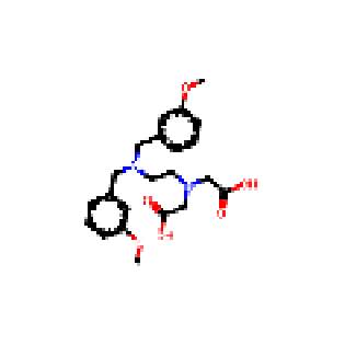 COc1cccc(CN(CCN(CC(=O)O)CC(=O)O)Cc2cccc(OC)c2)c1